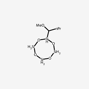 CCCC(OC)[SiH]1O[SiH2]O[SiH2]O[SiH2]O1